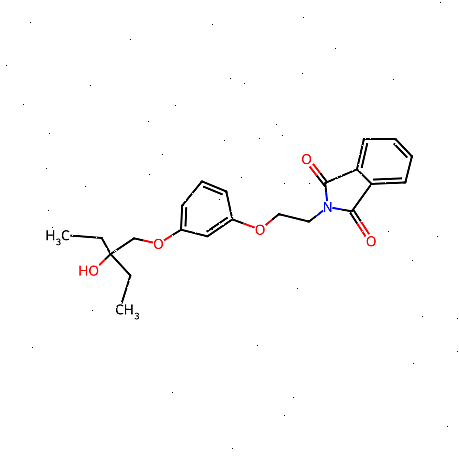 CCC(O)(CC)COc1cccc(OCCN2C(=O)c3ccccc3C2=O)c1